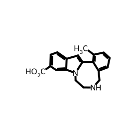 Cc1cccc2c1-c1cc3ccc(C(=O)O)cc3n1CCNC2